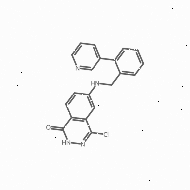 O=c1[nH]nc(Cl)c2cc(NCc3ccccc3-c3cccnc3)ccc12